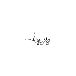 CCCCC[N+]1(CCCCC)CCN(S(=O)(=O)c2cccc(C(Cl)=C(Cl)Cl)c2)CC1